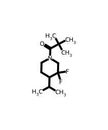 CC(C)C1CCN(C(=O)C(C)(C)C)CC1(F)F